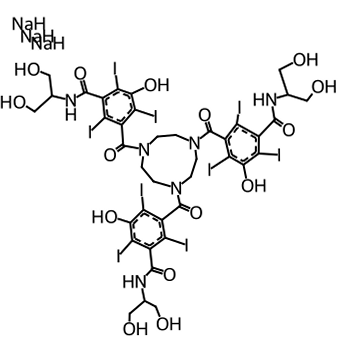 O=C(NC(CO)CO)c1c(I)c(O)c(I)c(C(=O)N2CCN(C(=O)c3c(I)c(O)c(I)c(C(=O)NC(CO)CO)c3I)CCN(C(=O)c3c(I)c(O)c(I)c(C(=O)NC(CO)CO)c3I)CC2)c1I.[NaH].[NaH].[NaH]